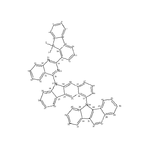 CC1(C)c2ccccc2-c2cccc(-c3nc(-n4c5ccccc5c5cc6c(-n7c8ccccc8c8ccc9ccccc9c87)cccc6cc54)c4ccccc4n3)c21